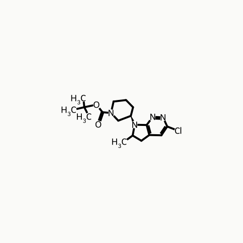 CC1Cc2cc(Cl)nnc2N1[C@@H]1CCCN(C(=O)OC(C)(C)C)C1